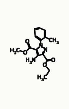 CCOC(=O)c1nn(-c2ccccc2C)c(C(=O)OC)c1N